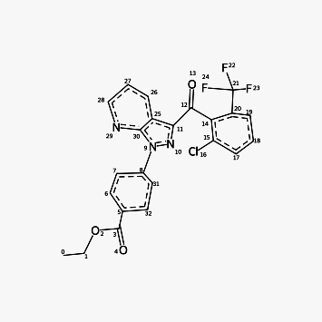 CCOC(=O)c1ccc(-n2nc(C(=O)c3c(Cl)cccc3C(F)(F)F)c3cccnc32)cc1